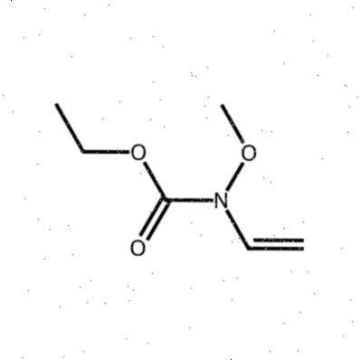 C=CN(OC)C(=O)OCC